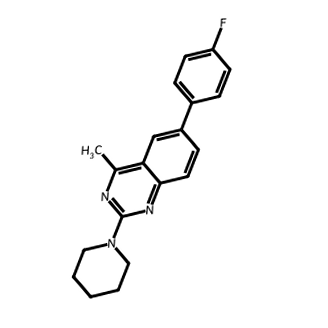 Cc1nc(N2CCCCC2)nc2ccc(-c3ccc(F)cc3)cc12